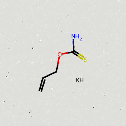 C=CCOC(N)=S.[KH]